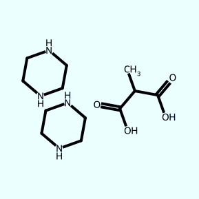 C1CNCCN1.C1CNCCN1.CC(C(=O)O)C(=O)O